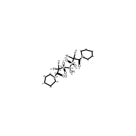 O=C(N1CCCCC1)C(F)(F)S(=O)(=O)N(O)S(=O)(=O)C(F)(F)C(=O)N1CCCCC1